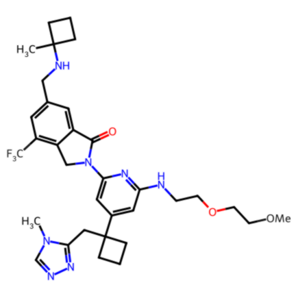 COCCOCCNc1cc(C2(Cc3nncn3C)CCC2)cc(N2Cc3c(cc(CNC4(C)CCC4)cc3C(F)(F)F)C2=O)n1